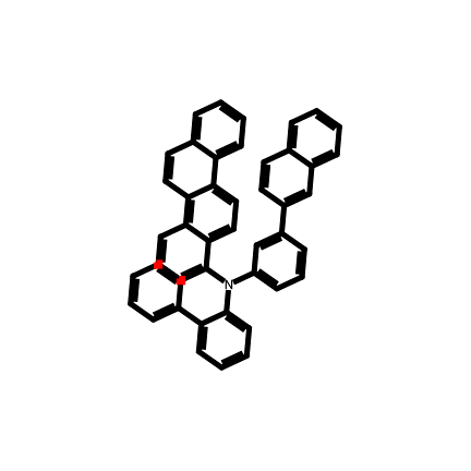 c1ccc(-c2ccccc2N(c2cccc(-c3ccc4ccccc4c3)c2)c2cccc3c2ccc2c4ccccc4ccc32)cc1